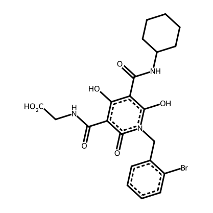 O=C(O)CNC(=O)c1c(O)c(C(=O)NC2CCCCC2)c(O)n(Cc2ccccc2Br)c1=O